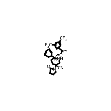 C[C@@H](OC[C@@]1(C2C=CC=CC2)CC[C@@](C#N)(N2CCCC2=O)CN1)c1cc(C(F)(F)F)cc(C(F)(F)F)c1